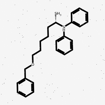 [SiH3][C@@H](CCCCCOCc1ccccc1)[SiH](c1ccccc1)c1ccccc1